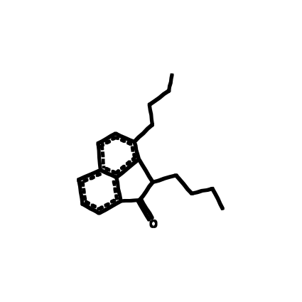 CCCCc1ccc2cccc3c2c1C(CCCC)C3=O